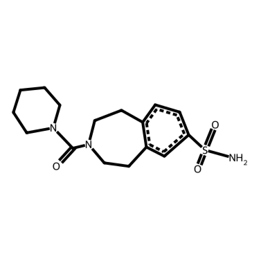 NS(=O)(=O)c1ccc2c(c1)CCN(C(=O)N1CCCCC1)CC2